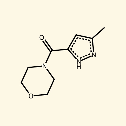 Cc1cc(C(=O)N2CCOCC2)[nH]n1